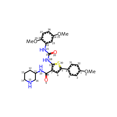 COc1ccc(-c2cc(C(=O)NC3CCCNC3)c(NC(=O)Nc3cc(OC)ccc3OC)s2)cc1